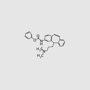 CN(C)CCCC1c2ccccc2C=Cc2ccc(NC(=O)Oc3ccccc3)cc21